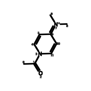 CC(=O)n1ccc(=[N+](C)C)cc1